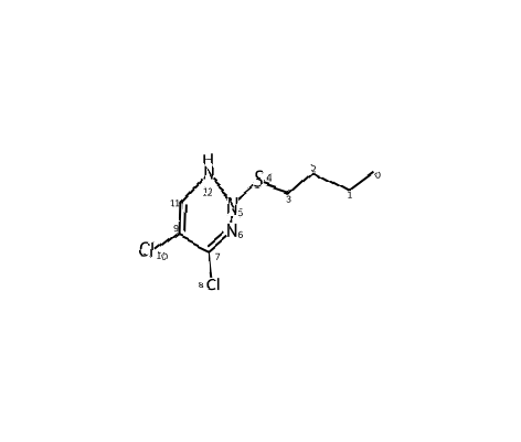 CCCCSN1N=C(Cl)C(Cl)=CN1